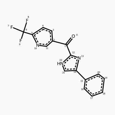 O=C(c1ccc(C(F)(F)F)nc1)c1nc(-c2ccccc2)c[nH]1